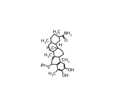 Cc1c(O)c(O)cc2c1C(SC(C)C)C=C1[C@@]2(C)CC[C@@]2(C)[C@@H]3C[C@](C)(C(N)=O)CC[C@]3(C)CC[C@]12C